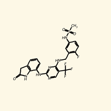 CS(=O)(=O)Nc1ccc(F)c(CNc2nc(Nc3cccc4c3NC(=O)C4)ncc2C(F)(F)F)c1